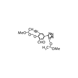 COC(C)OCOc1c(Br)cc(-c2nnnn2COC(C)OC)cc1C=O